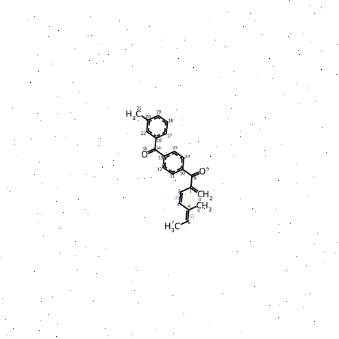 C=C(/C=C\C(C)=C/C)C(=O)c1ccc(C(=O)c2cccc(C)c2)cc1